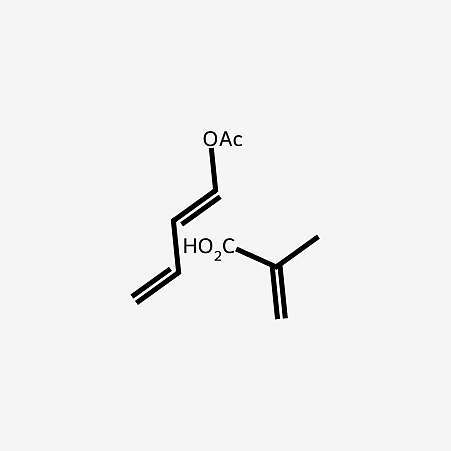 C=C(C)C(=O)O.C=CC=COC(C)=O